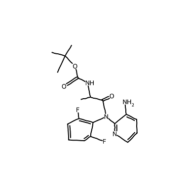 CC(NC(=O)OC(C)(C)C)C(=O)N(c1ncccc1N)c1c(F)cccc1F